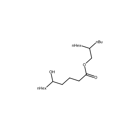 CCCCCCC(O)CCCC(=O)OCC(CCCC)CCCCCC